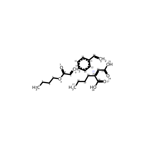 C=CC(=O)OCCCC.C=Cc1ccccc1.CCCC/C(=C/C(=O)O)C(=O)O